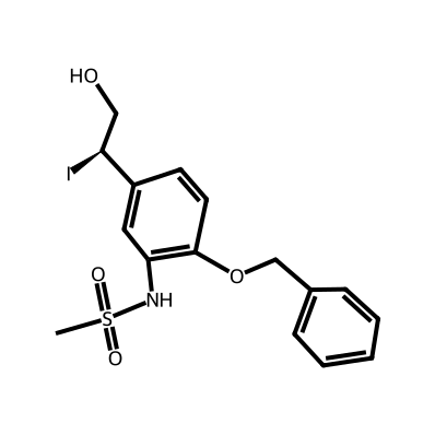 CS(=O)(=O)Nc1cc([C@@H](I)CO)ccc1OCc1ccccc1